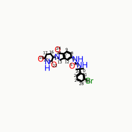 CC(C)(NC(=O)Nc1ccc2c(c1)CN(C1CCC(=O)NC1=O)C2=O)c1cccc(Br)c1